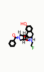 O=C(c1ccccc1)N1C[C@H]2C[C@@]34CC[C@@H]1[C@@H]2C31CCN(CCF)[C@@H]4Cc2ccc(O)cc21